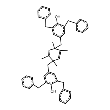 CC1=CC(C)(Cc2cc(Cc3ccccc3)c(O)c(Cc3ccccc3)c2)C(C)=CC1(C)Cc1cc(Cc2ccccc2)c(O)c(Cc2ccccc2)c1